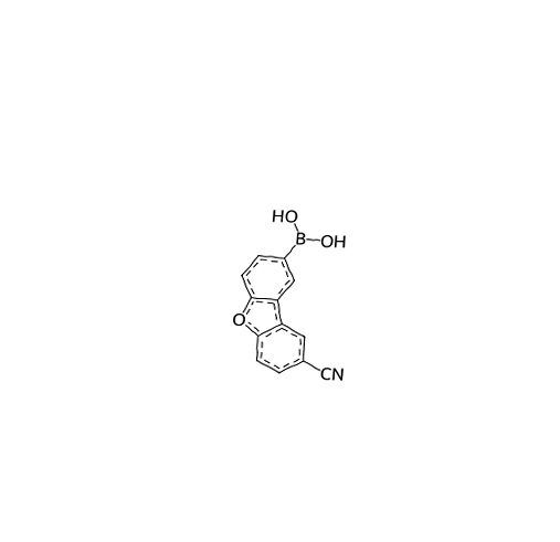 N#Cc1ccc2oc3ccc(B(O)O)cc3c2c1